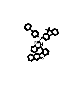 CC1(C)c2ccccc2-c2ccc(N(c3ccc(-c4ccccc4)cc3)c3nc(-c4cccc5sc6cc7ccccc7cc6c45)c4ccccc4n3)cc21